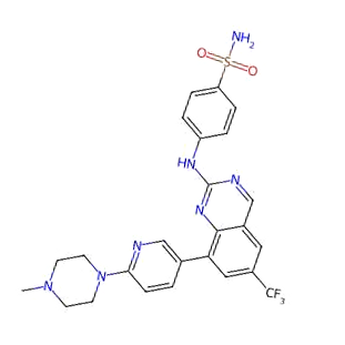 CN1CCN(c2ccc(-c3cc(C(F)(F)F)cc4cnc(Nc5ccc(S(N)(=O)=O)cc5)nc34)cn2)CC1